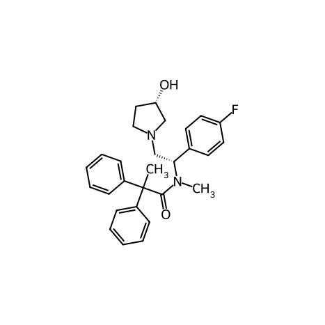 CN(C(=O)C(C)(c1ccccc1)c1ccccc1)[C@H](CN1CC[C@H](O)C1)c1ccc(F)cc1